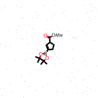 COC(=O)C1C=C(B2OC(C)(C)C(C)(C)O2)CC1